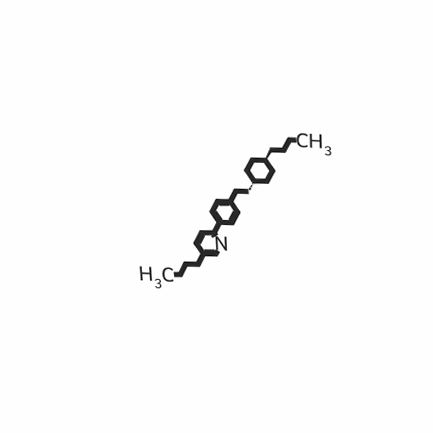 CCCCc1ccc(-c2ccc(CC[C@H]3CC[C@H](CCCC)CC3)cc2)nc1